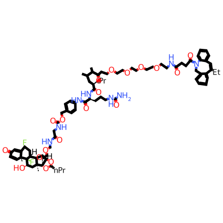 CCCC1O[C@@H]2CC3[C@@H]4C[C@H](F)C5=CC(=O)C=C[C@]5(C)[C@@]4(F)[C@@H](O)C[C@]3(C)[C@]2(C(=O)COCNC(=O)CNC(=O)OCc2ccc(NC(=O)[C@H](CCCNC(N)=O)NC(=O)[C@@H](CC(C)C(C)C(=O)CCOCCOCCOCCOCCNC(=O)CCC(=O)N3Cc4ccccc4/C(CC)=C\c4ccccc43)C(C)C)cc2)O1